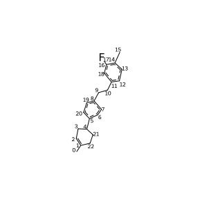 CC1=CCC(c2ccc(CCc3ccc(C)c(F)c3)cc2)CC1